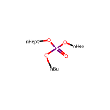 CCCCCCCOP(=O)(OCCCC)OCCCCCC